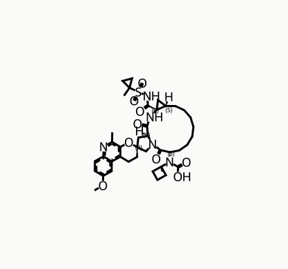 COc1ccc2nc(C)c3c(c2c1)CC[C@]1(C[C@H]2C(=O)N[C@]4(C(=O)NS(=O)(=O)C5(C)CC5)C[C@@H]4CCCCCCC[C@H](N(C(=O)O)C4(C)CCC4)C(=O)N2C1)O3